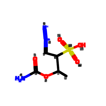 CC(OC(N)=O)C(C=[N+]=[N-])S(=O)(=O)O